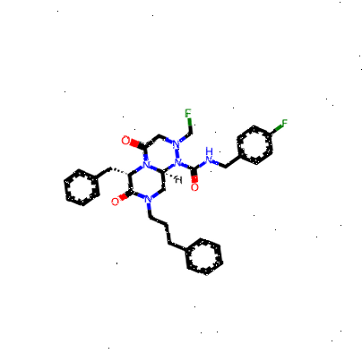 O=C1[C@H](Cc2ccccc2)N2C(=O)CN(CF)N(C(=O)NCc3ccc(F)cc3)[C@H]2CN1CCCc1ccccc1